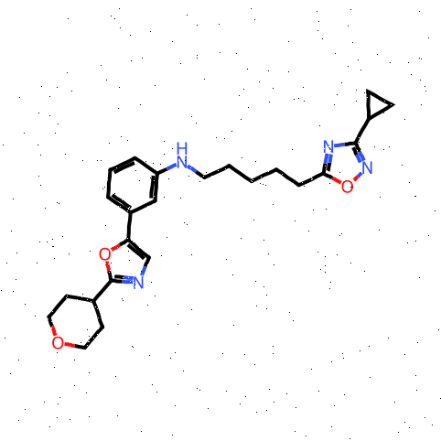 c1cc(NCCCCCc2nc(C3CC3)no2)cc(-c2cnc(C3CCOCC3)o2)c1